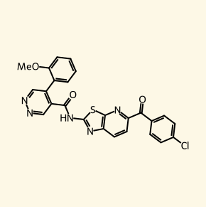 COc1ccccc1-c1cnncc1C(=O)Nc1nc2ccc(C(=O)c3ccc(Cl)cc3)nc2s1